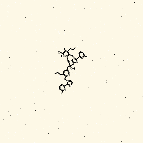 CCCC1=C(Cn2ccnc2-c2cccc(F)n2)N(C#CC(C)(O)Cc2cc(CCC)c(Cn3ccnc3-c3cccc(F)n3)nn2)NC(Cl)=C1C